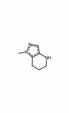 Cn1ncc2c1CCCN2